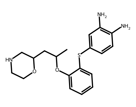 CC(CC1CNCCO1)Oc1ccccc1Sc1ccc(N)c(N)c1